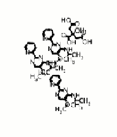 COc1cnc(-c2ccccn2)nc1NC(C)C.COc1cnc(-c2ccccn2)nc1NC(C)C.COc1cnc(-c2ccccn2)nc1NC(C)C.O=C(O)CC(O)(CC(=O)O)C(=O)O